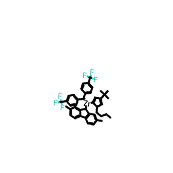 CCCCC1C=C(C(C)(C)C)C=[C]1[Zr](=[C](c1ccc(C(F)(F)F)cc1)c1ccc(C(F)(F)F)cc1)[CH]1c2cc(C)ccc2-c2ccc(C)cc21